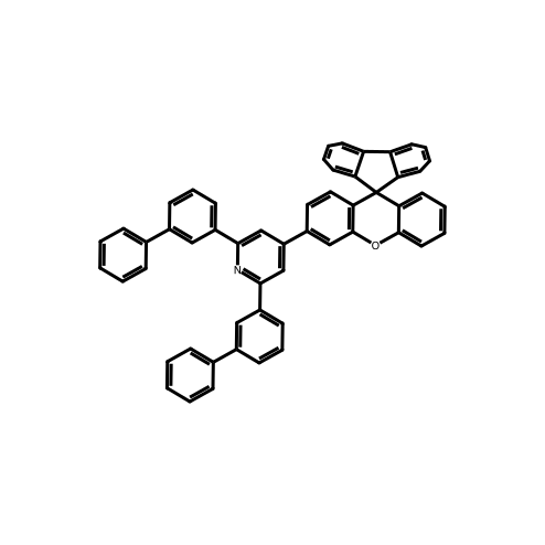 c1ccc(-c2cccc(-c3cc(-c4ccc5c(c4)Oc4ccccc4C54c5ccccc5-c5ccccc54)cc(-c4cccc(-c5ccccc5)c4)n3)c2)cc1